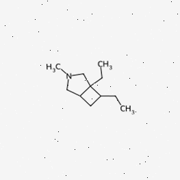 CCC1CC2CN(C)CC12CC